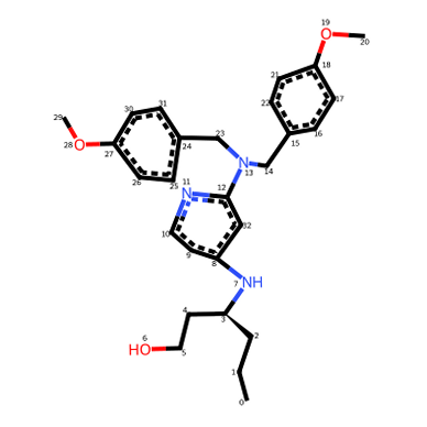 CCC[C@@H](CCO)Nc1ccnc(N(Cc2ccc(OC)cc2)Cc2ccc(OC)cc2)c1